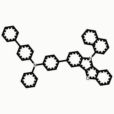 c1ccc(-c2ccc(N(c3ccccc3)c3ccc(-c4ccc5c(c4)c4oc6ccccc6c4n5-c4cccc5ccccc45)cc3)cc2)cc1